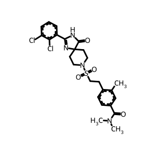 Cc1cc(C(=O)N(C)C)ccc1CCS(=O)(=O)N1CCC2(CC1)N=C(c1cccc(Cl)c1Cl)NC2=O